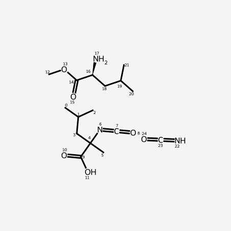 CC(C)CC(C)(N=C=O)C(=O)O.COC(=O)[C@@H](N)CC(C)C.N=C=O